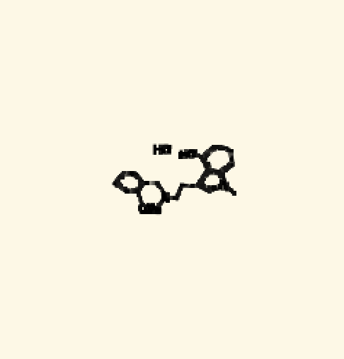 COc1ccccc1CN(C)CCc1cn(C)c2cccc(O)c12.Cl